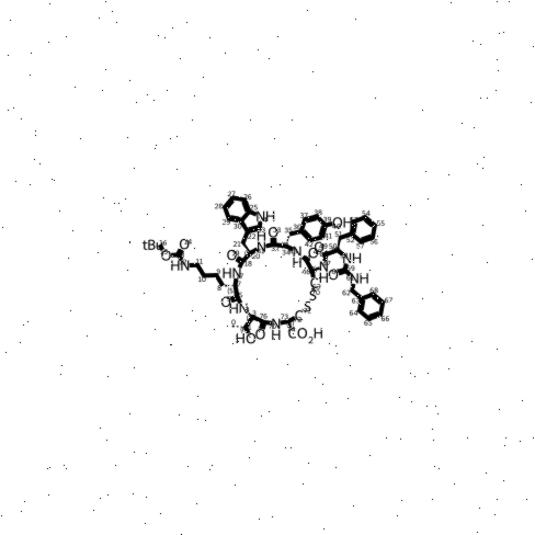 C[C@@H](O)[C@@H]1NC(=O)[C@H](CCCCNC(=O)OC(C)(C)C)NC(=O)[C@@H](Cc2c[nH]c3ccccc23)NC(=O)[C@H](Cc2ccc(O)cc2)NC(=O)[C@@H](NC(=O)[C@@H](Cc2ccccc2)NC(=O)NCc2ccccc2)CSSC[C@@H](C(=O)O)NC1=O